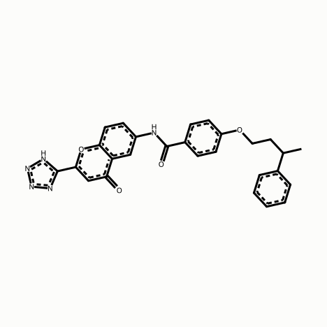 CC(CCOc1ccc(C(=O)Nc2ccc3oc(-c4nnn[nH]4)cc(=O)c3c2)cc1)c1ccccc1